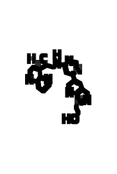 C[C@H](CNc1cc(-c2cnc3c(cnn3CCO)c2)ncn1)c1ccnc2cccnc12